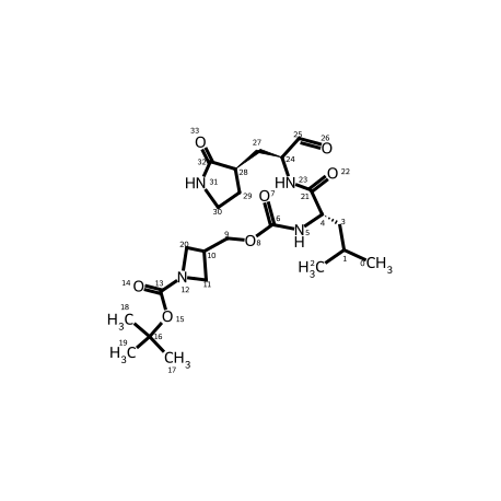 CC(C)C[C@H](NC(=O)OCC1CN(C(=O)OC(C)(C)C)C1)C(=O)N[C@H](C=O)C[C@H]1CCNC1=O